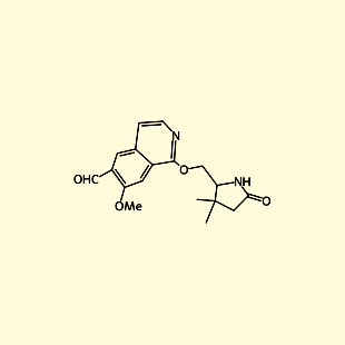 COc1cc2c(OCC3NC(=O)CC3(C)C)nccc2cc1C=O